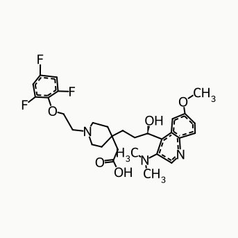 COc1ccc2ncc(N(C)C)c([C@H](O)CCC3(CC(=O)O)CCN(CCOc4c(F)cc(F)cc4F)CC3)c2c1